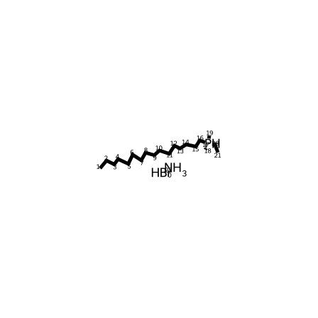 Br.CCCCCCCCCCCCCCCC[PH](C)(C)CC.N